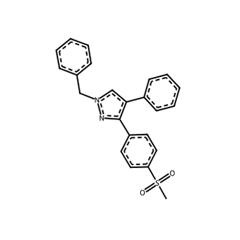 CS(=O)(=O)c1ccc(-c2nn(Cc3ccccc3)cc2-c2ccccc2)cc1